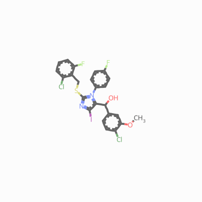 COc1cc(C(O)c2c(I)nc(SCc3c(F)cccc3Cl)n2-c2ccc(F)cc2)ccc1Cl